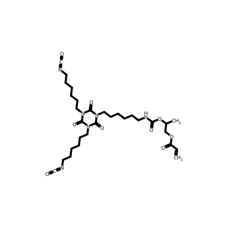 C=CC(=O)OCC(C)OC(=O)NCCCCCCn1c(=O)n(CCCCCCN=C=O)c(=O)n(CCCCCCN=C=O)c1=O